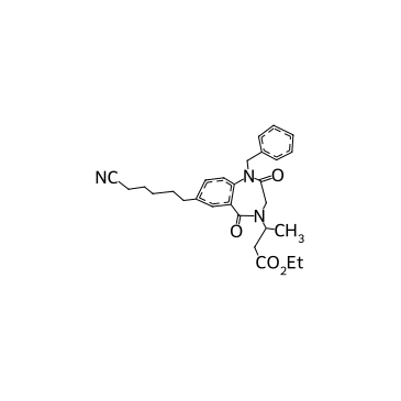 CCOC(=O)CC(C)N1CC(=O)N(Cc2ccccc2)c2ccc(CCCCCC#N)cc2C1=O